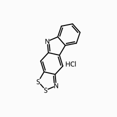 Cl.c1ccc2c(c1)nc1cc3ssnc3cc12